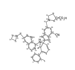 Cc1ccccc1C1=CC=CC(Nc2nccc3cc(CN4CCC4)cnc23)(c2nc3cc(CN4CC[C@@H](C(=O)O)C4)cc(C#N)c3o2)C1C